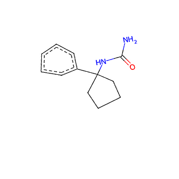 NC(=O)NC1(c2ccccc2)CCCC1